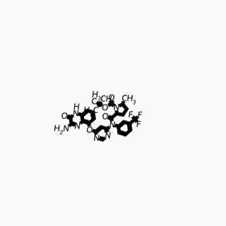 CC1CCC(C(=O)N(c2cccc(C(F)(F)F)c2)c2cc(Oc3cccc4[nH]c(=O)c(N)nc34)ncn2)N1C(=O)OC(C)(C)C